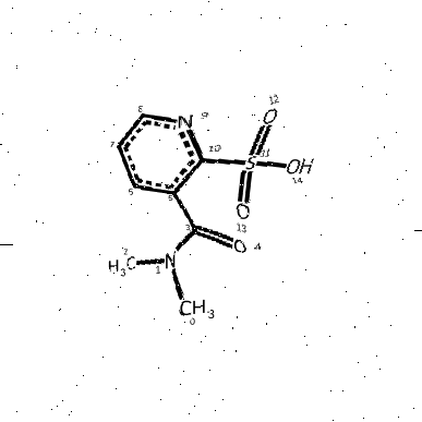 CN(C)C(=O)c1cccnc1S(=O)(=O)O